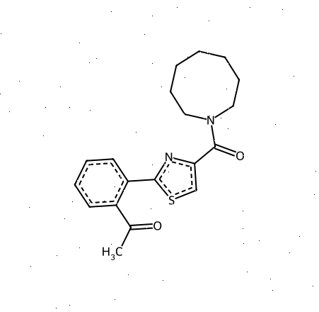 CC(=O)c1ccccc1-c1nc(C(=O)N2CCCCCCC2)cs1